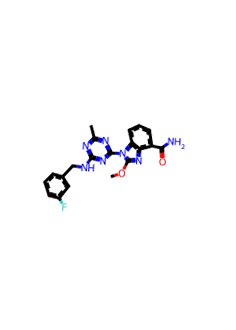 COc1nc2c(C(N)=O)cccc2n1-c1nc(C)nc(NCc2cccc(F)c2)n1